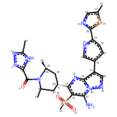 Cc1nnc(C(=O)N2C(C)C[C@@H](c3nc4c(-c5ccc(-c6ncc(C)s6)nc5)cnn4c(N)c3S(C)(=O)=O)C[C@@H]2C)[nH]1